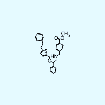 COC(=O)c1ccc(CNCC(OCc2ccc(CCc3ccccc3)s2)c2ccccc2)cc1